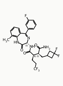 Cc1cccc2c1NC(=O)[C@@H](NC(=O)[C@H](CCC(F)(F)F)[C@H](CC1CC(F)(F)C1)C(N)=O)N=C2c1cccc(F)c1